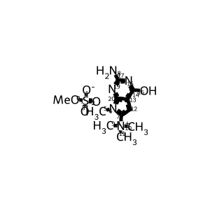 COS(=O)(=O)[O-].Cn1c([N+](C)(C)C)cc2c(O)nc(N)nc21